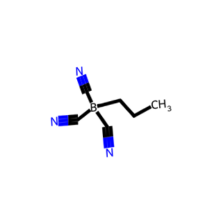 CCC[B-](C#N)(C#N)C#N